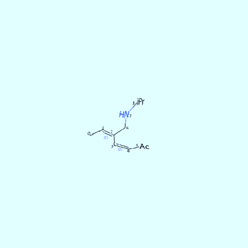 C/C=C(\C=C/C(C)=O)CNC(C)C